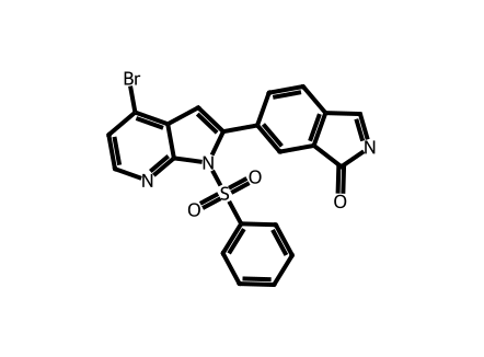 O=C1N=Cc2ccc(-c3cc4c(Br)ccnc4n3S(=O)(=O)c3ccccc3)cc21